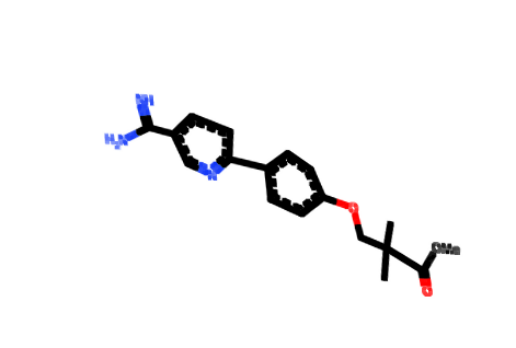 COC(=O)C(C)(C)COc1ccc(-c2ccc(C(=N)N)cn2)cc1